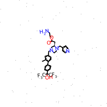 Cc1cc(CN2CCN(Cc3ccncc3)[C@H](CC(=O)OCCN)C2)ccc1-c1ccc(C(O)(C(F)(F)F)C(F)(F)F)cc1